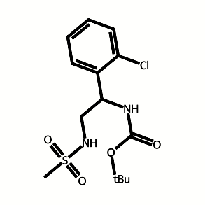 CC(C)(C)OC(=O)NC(CNS(C)(=O)=O)c1ccccc1Cl